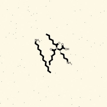 CCCCCC(=O)N(C(=O)CCCCC)[C@@H](CCCCN)C(=O)O.CCCCCCCCCCCCN